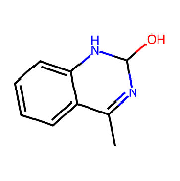 CC1=NC(O)Nc2ccccc21